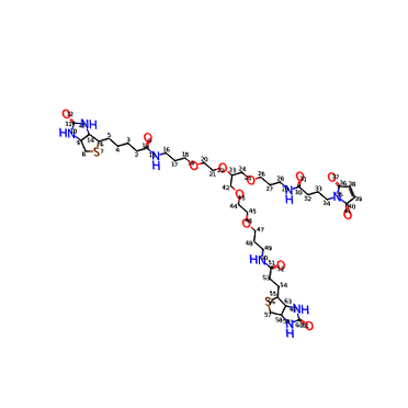 O=C(CCCCC1SCC2NC(=O)NC21)NCCCOCCOC(COCCCNC(=O)CCCN1C(=O)C=CC1=O)COCCOCCCNC(=O)CCC1SCC2NC(=O)NC21